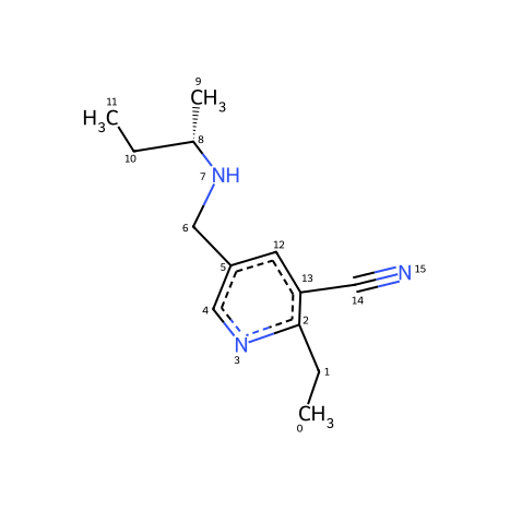 CCc1ncc(CN[C@@H](C)CC)cc1C#N